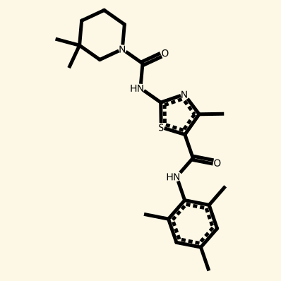 Cc1cc(C)c(NC(=O)c2sc(NC(=O)N3CCCC(C)(C)C3)nc2C)c(C)c1